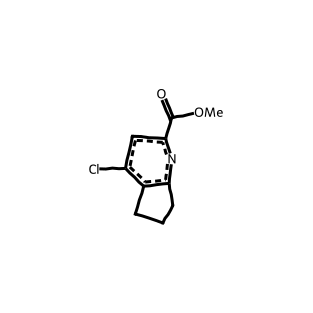 COC(=O)c1cc(Cl)c2c(n1)CCC2